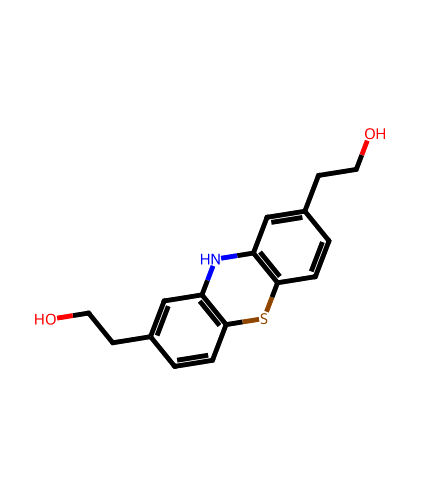 OCCc1ccc2c(c1)Nc1cc(CCO)ccc1S2